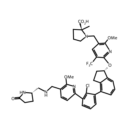 COc1nc(-c2cccc(-c3cccc4c3CC[C@@H]4Oc3nc(OC)c(CN4CCC[C@@]4(C)C(=O)O)cc3C(F)(F)F)c2Cl)ccc1CNC[C@@H]1CCC(=O)N1